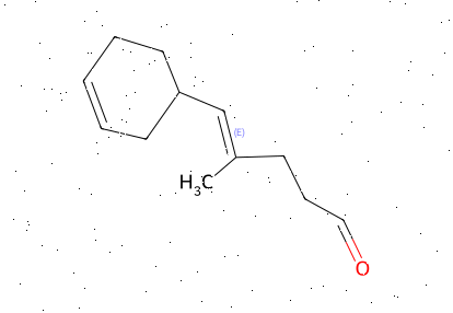 C/C(=C\C1CC=CCC1)CCC=O